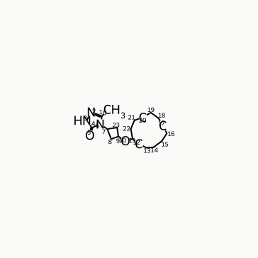 Cc1n[nH]c(=O)n1C1CC(OC2CCCCCCCCCCC2)C1